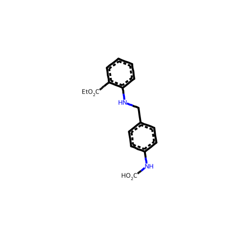 CCOC(=O)c1ccccc1NCc1ccc(NC(=O)O)cc1